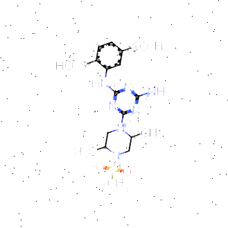 CC1CN(S(C)(=O)=O)C(C)CN1c1nc(N)nc(Nc2cc(S(=O)(=O)O)ccc2S(=O)(=O)O)n1